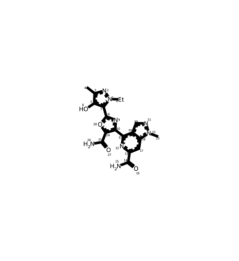 CCn1nc(C)c(O)c1-c1nc(-c2nc(C(N)=O)cc3c2cnn3C)c(C(N)=O)o1